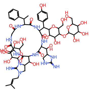 CC(C)=CCN1CC(C(O)C2NC(=O)C(C(O)C3CNC(=N)N3)NC(=O)C(C(c3ccc(O)cc3)C3OC(CO)C(OC4OC(CO)C(O)C(O)C4O)C(O)C3O)NC(=O)C(C(C)c3ccccc3)NC(=O)CNC(=O)C(CO)NC2=O)N(C2OC(CO)C(O)C(O)C2O)C1=N